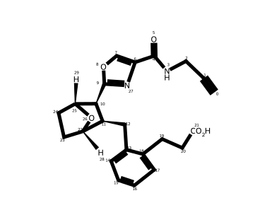 C#CCNC(=O)c1coc([C@H]2[C@@H](Cc3ccccc3CCC(=O)O)[C@@H]3CC[C@H]2O3)n1